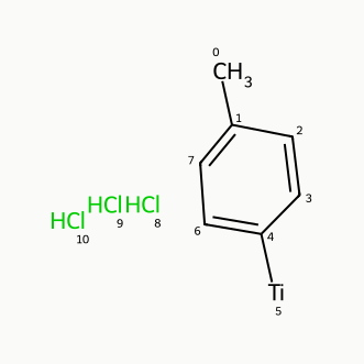 Cc1cc[c]([Ti])cc1.Cl.Cl.Cl